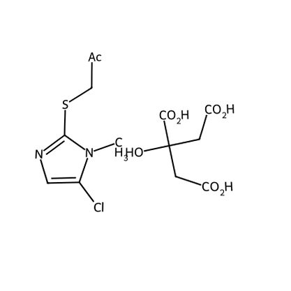 CC(=O)CSc1ncc(Cl)n1C.O=C(O)CC(O)(CC(=O)O)C(=O)O